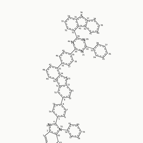 C1=Cc2nc(-c3ccc(-c4ccc5sc6c(-c7ccc(-c8nc(-c9ccccc9)nc(-c9cccc%10sc%11ccccc%11c9%10)n8)cc7)cccc6c5c4)cc3)n(-c3ccccc3)c2CC1